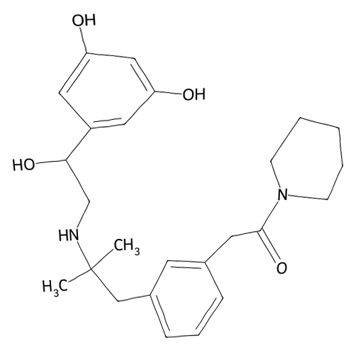 CC(C)(Cc1cccc(CC(=O)N2CCCCC2)c1)NCC(O)c1cc(O)cc(O)c1